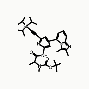 Cc1nc2cccc(-c3cc(C#C[Si](C(C)C)(C(C)C)C(C)C)nc(NC(=O)C(C)N(C)C(=O)OC(C)(C)C)c3)n2c1C